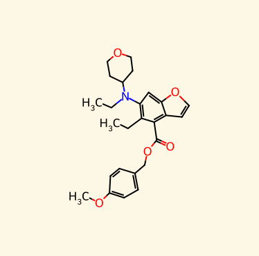 CCc1c(N(CC)C2CCOCC2)cc2occc2c1C(=O)OCc1ccc(OC)cc1